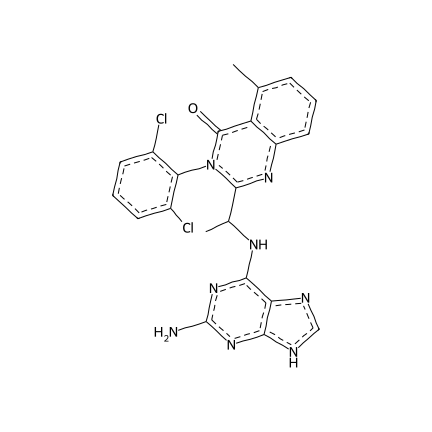 Cc1cccc2nc(C(C)Nc3nc(N)nc4[nH]cnc34)n(-c3c(Cl)cccc3Cl)c(=O)c12